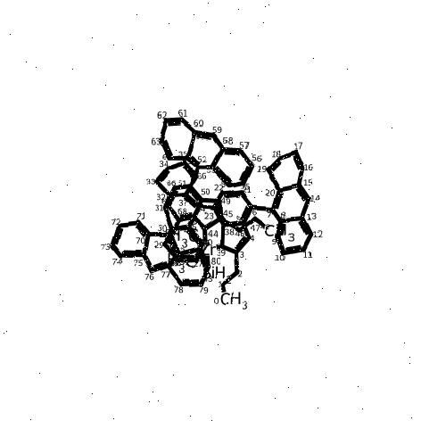 CCCC1=Cc2c(-c3c4ccccc4cc4ccccc34)ccc(-c3c4ccccc4cc4ccccc34)c2[CH]1[Zr]([CH3])([CH3])(=[SiH2])[CH]1C(CCC)=Cc2c(-c3c4ccccc4cc4ccccc34)ccc(-c3c4ccccc4cc4ccccc34)c21